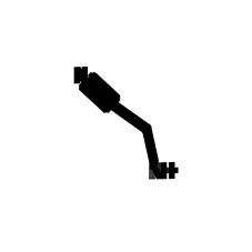 N#CC[NH]